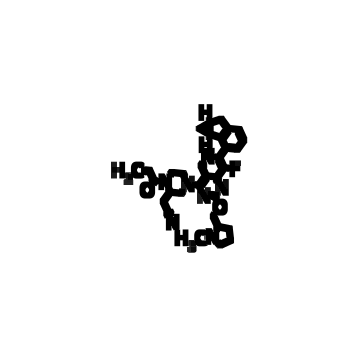 C=CC(=O)N1CCN(c2nc(OCC3CCCN3C)nc3c(F)c(-c4cccc5c4[C@@H]4C[C@@H]4C5)ncc23)CC1CC#N